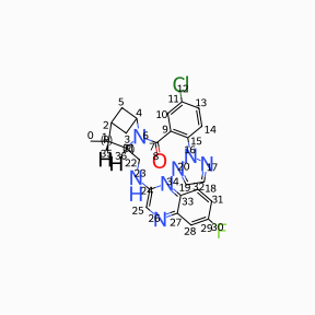 C[C@@H]1C2CC(C2)N(C(=O)c2cc(Cl)ccc2-n2nccn2)[C@H]1CNc1cnc2cc(F)ccc2n1